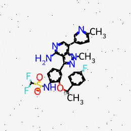 Cc1ccc(-c2cnc(N)c3c(-c4ccc(NS(=O)(=O)C(F)F)c(O[C@@H](C)c5ccc(F)cc5)c4)nn(C)c23)cn1